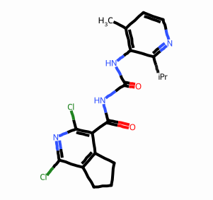 Cc1ccnc(C(C)C)c1NC(=O)NC(=O)c1c(Cl)nc(Cl)c2c1CCC2